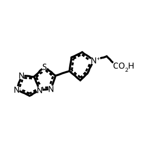 O=C(O)C[n+]1ccc(-c2nn3cnnc3s2)cc1